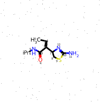 C/C=C(\C(=O)NC(C)C)C1CSC(N)=N1